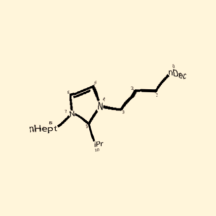 CCCCCCCCCCCCCN1C=CN(CCCCCCC)C1C(C)C